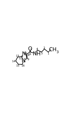 CCCCCNC(=O)c1cn2c(n1)CCCC2